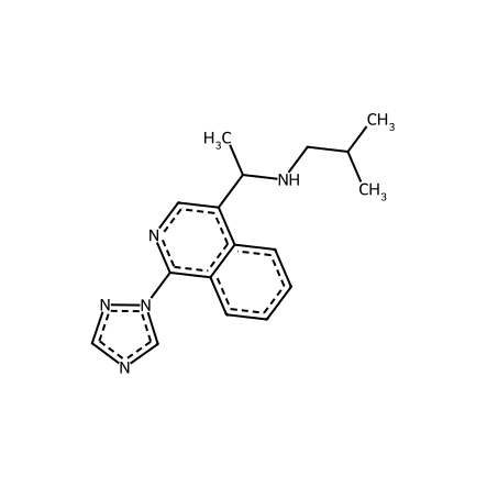 CC(C)CNC(C)c1cnc(-n2cncn2)c2ccccc12